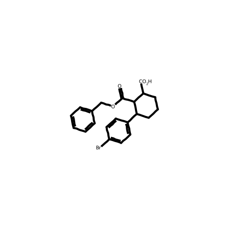 O=C(O)C1CCCC(c2ccc(Br)cc2)C1C(=O)OCc1ccccc1